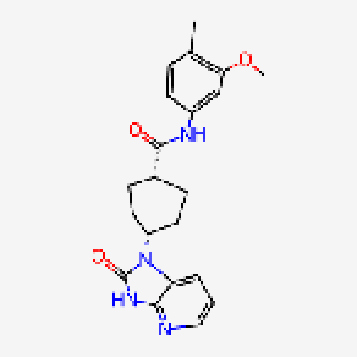 COc1cc(NC(=O)[C@H]2CC[C@@H](n3c(=O)[nH]c4ncccc43)CC2)ccc1C